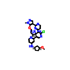 CO[C@H]1CC[C@H](Nc2ccnc(C3=CN=C(Cl)CC3(N)[C@@H](C)CCOc3c(-c4nccc(N)n4)cnn3C)c2)C1